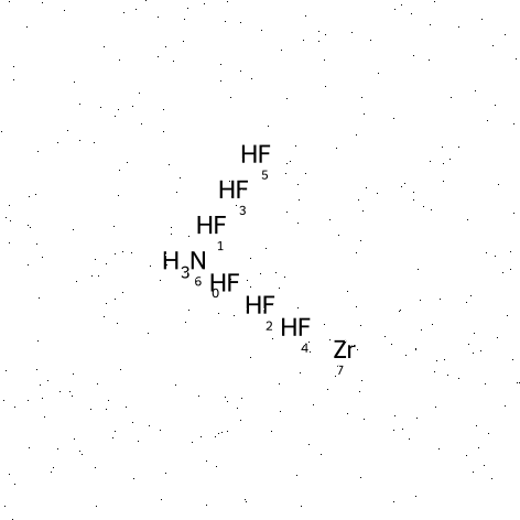 F.F.F.F.F.F.N.[Zr]